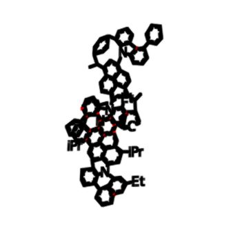 CCc1cccc(N(c2c(C)cccc2-c2ccccc2)c2cc(C(C)C)c3ccc4c(N(c5cccc(CC)c5)c5c(C)cccc5-c5ccccc5-c5ccc6c(c5C)N(c5cccc(-c7ccccc7)c5)c5cc(c7ccc8c9cc(c%10ccc5c7c%108)C(C)c5ccc(cc5)-c5cccc(C)c5N9c5cccc(-c7ccccc7)c5)C(C)c5ccc-6cc5)cc(C(C)C)c5ccc2c3c54)c1